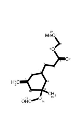 C=C1CC(CCC(=O)OCOC)CC(C)(OC=O)C1